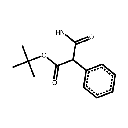 CC(C)(C)OC(=O)C(C([NH])=O)c1ccccc1